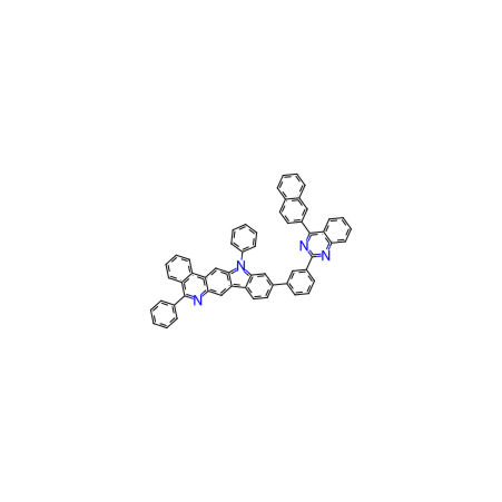 c1ccc(-c2nc3cc4c5ccc(-c6cccc(-c7nc(-c8ccc9ccccc9c8)c8ccccc8n7)c6)cc5n(-c5ccccc5)c4cc3c3ccccc23)cc1